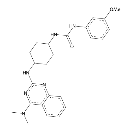 COc1cccc(NC(=O)NC2CCC(Nc3nc(N(C)C)c4ccccc4n3)CC2)c1